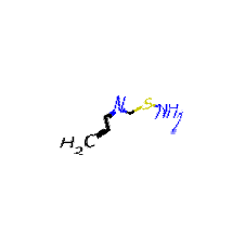 C=C/C=N\CSN